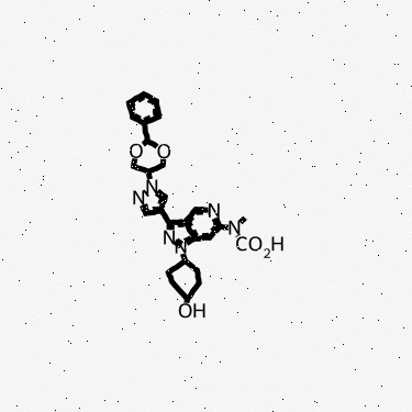 CN(C(=O)O)c1cc2c(cn1)c(-c1cnn(C3COC(c4ccccc4)OC3)c1)nn2C1CCC(O)CC1